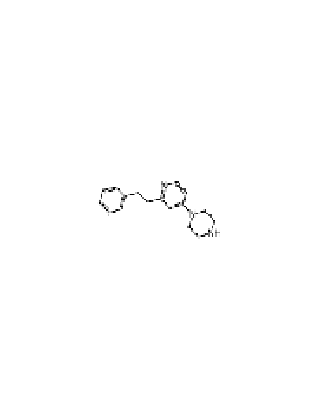 [c]1cccc(CCc2cc(N3CCNCC3)ccn2)c1